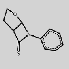 S=C1C2CCOC2N1c1ccccc1